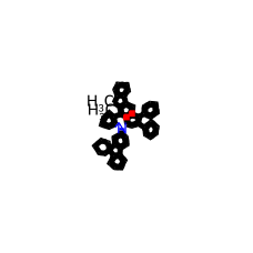 CC1(C)c2ccccc2-c2cccc(-c3ccccc3N(c3ccc(-c4ccccc4)c(-c4ccccc4)c3)c3ccc4c(c3)C3(CCCCC3)c3ccccc3-4)c21